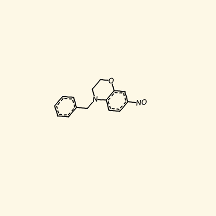 O=Nc1ccc2c(c1)OCCN2Cc1ccccc1